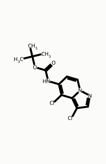 CC(C)(C)OC(=O)Nc1ccn2ncc(Cl)c2c1Cl